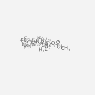 CCOC(=O)COc1cc(C)cc(CN2CCN(c3nc4cc(F)c(C(F)(F)F)cc4s3)C[C@H]2C)c1